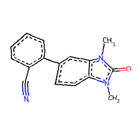 Cn1c(=O)n(C)c2cc(-c3ccccc3C#N)ccc21